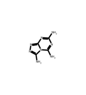 Nc1nc(N)n2c(N)nnc2n1